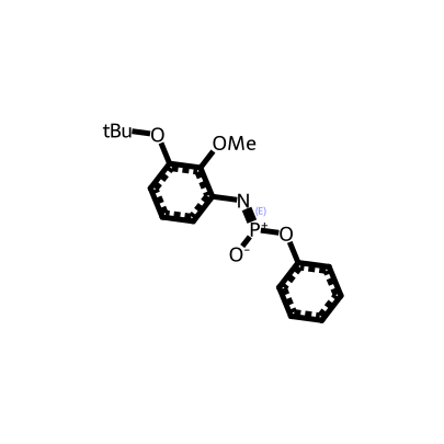 COc1c(/N=[P+](\[O-])Oc2ccccc2)cccc1OC(C)(C)C